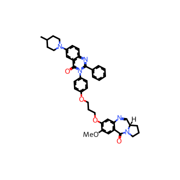 COc1cc2c(cc1OCCCOc1ccc(-n3c(-c4ccccc4)nc4ccc(N5CCC(C)CC5)cc4c3=O)cc1)N=C[C@@H]1CCCN1C2=O